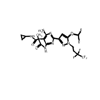 CC1(C(=O)NC2CC2)C(=O)Nc2nc(-c3cc(OC(F)F)n(CCC(F)(F)C(F)(F)F)n3)nc(N)c21